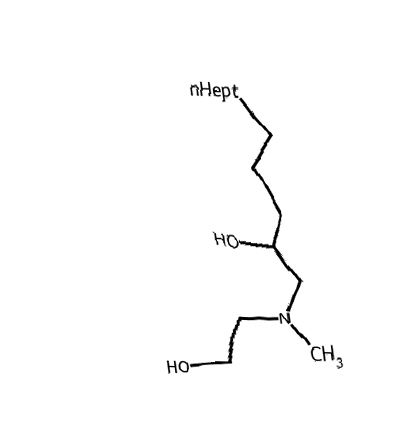 CCCCCCCCCCC(O)CN(C)CCO